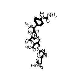 NC(=O)Nc1ccc(C(N)C(=O)NC2C(=O)N3C(C(=O)O)=C(CSc4nnc(CS(=O)(=O)O)o4)CS[C@@H]23)cc1